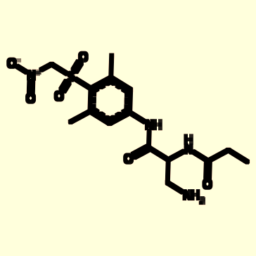 CCC(=O)NC(CN)C(=O)Nc1cc(C)c(S(=O)(=O)C[N+](=O)[O-])c(C)c1